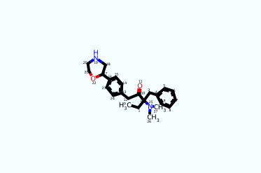 CCC(Cc1ccccc1)(C(=O)Cc1ccc(C2CNCCO2)cc1)N(C)C